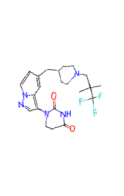 CC(C)(CN1CCC(Cc2ccn3ncc(N4CCC(=O)NC4=O)c3c2)CC1)C(F)(F)F